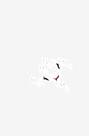 CC(C)=COCC(C)OC=C(C)C